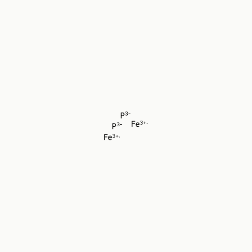 [Fe+3].[Fe+3].[P-3].[P-3]